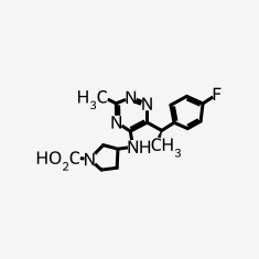 Cc1nnc([C@H](C)c2ccc(F)cc2)c(NC2CCN(C(=O)O)C2)n1